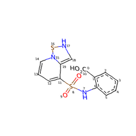 O=C(O)c1ccccc1NS(=O)(=O)C1=CC=CN2SNC=C12